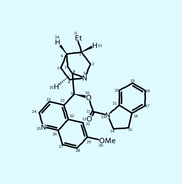 CC[C@@H]1CN2CC[C@H]1C[C@@H]2[C@@H](OC(=O)N1CCc2ccccc21)c1ccnc2ccc(OC)cc12